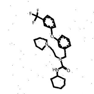 O=C(NC1CCCCC1)N(CCN1CCCCC1)Cc1cccc(Oc2cccc(C(F)(F)F)c2)c1